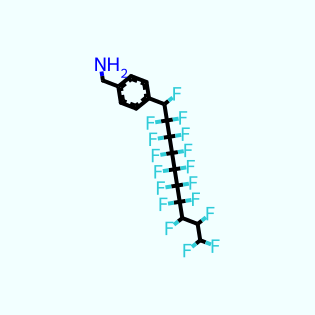 NCc1ccc(C(F)C(F)(F)C(F)(F)C(F)(F)C(F)(F)C(F)(F)C(F)(F)C(F)C(F)C(F)F)cc1